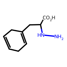 NNC(CC1=CCC=CC1)C(=O)O